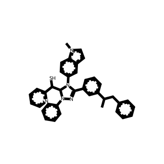 CC(Cc1ccccc1)c1cccc(C2=NN(c3ccccc3)C(C(S)c3ccccn3)N2c2ccc3c(ccn3C)c2)c1